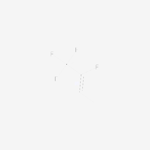 C/C=C(\F)C(F)(F)F